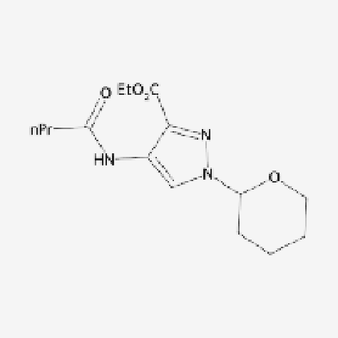 CCCC(=O)Nc1cn(C2CCCCO2)nc1C(=O)OCC